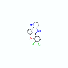 COc1c(CNC2CCCNC2c2ccccc2)ccc(Cl)c1Cl